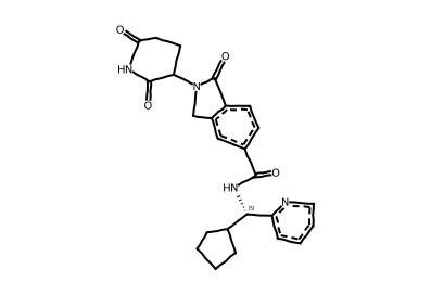 O=C1CCC(N2Cc3cc(C(=O)N[C@H](c4ccccn4)C4CCCC4)ccc3C2=O)C(=O)N1